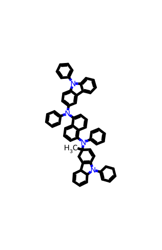 CC1(N(c2ccccc2)c2cccc3c(N(c4ccccc4)c4ccc5c(c4)c4ccccc4n5-c4ccccc4)cccc23)C=CC2=C(C1)C1C=CC=CC1N2C1=CC=CCC1